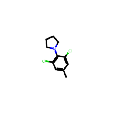 Cc1cc(Cl)c(N2CCCC2)c(Cl)c1